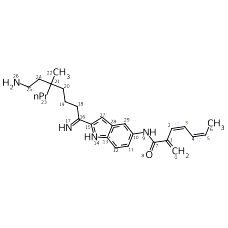 C=C(/C=C\C=C/C)C(=O)Nc1ccc2[nH]c(C(=N)CCCC(C)(CCC)CCN)cc2c1